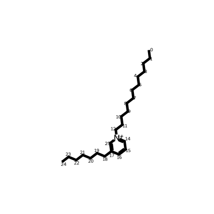 CCCCCCCCCCCCC[n+]1cccc(CCCCCCC)c1